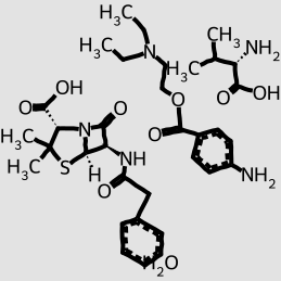 CC(C)[C@H](N)C(=O)O.CC1(C)S[C@@H]2[C@H](NC(=O)Cc3ccccc3)C(=O)N2[C@H]1C(=O)O.CCN(CC)CCOC(=O)c1ccc(N)cc1.O